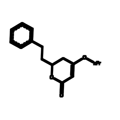 CCCOC1=CC(=O)OC(CCc2ccccc2)C1